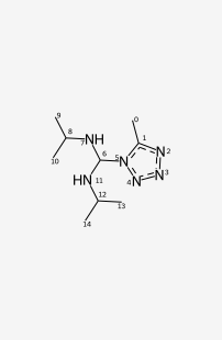 Cc1nnnn1C(NC(C)C)NC(C)C